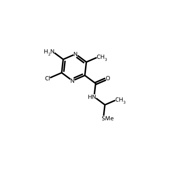 CSC(C)NC(=O)c1nc(Cl)c(N)nc1C